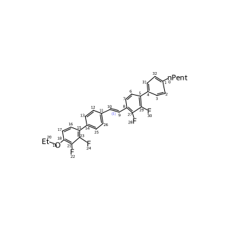 CCCCCc1ccc(-c2ccc(/C=C/c3ccc(-c4ccc(OCC)c(F)c4F)cc3)c(F)c2F)cc1